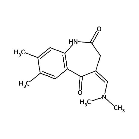 Cc1cc2c(cc1C)C(=O)C(=CN(C)C)CC(=O)N2